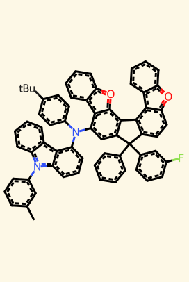 Cc1cccc(-n2c3ccccc3c3c(N(c4ccc(C(C)(C)C)cc4)c4cc5c(c6oc7ccccc7c46)-c4c(ccc6oc7ccccc7c46)C5(c4ccccc4)c4cccc(F)c4)cccc32)c1